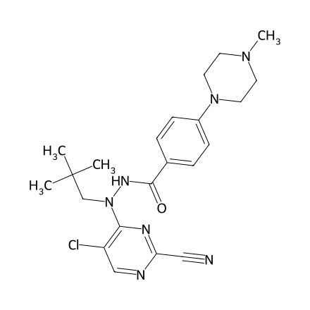 CN1CCN(c2ccc(C(=O)NN(CC(C)(C)C)c3nc(C#N)ncc3Cl)cc2)CC1